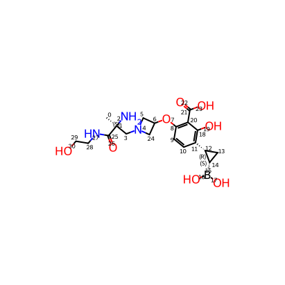 C[C@](N)(CN1CC(Oc2ccc([C@@H]3C[C@@H]3B(O)O)c(O)c2C(=O)O)C1)C(=O)NCCO